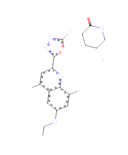 Cc1cc(-c2nnc(N[C@H]3C[C@@H](O)CNC3=O)o2)nc2c(C(C)(C)C)cc(NCC(F)(F)F)cc12